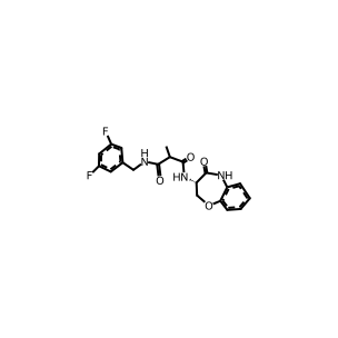 CC(C(=O)NCc1cc(F)cc(F)c1)C(=O)N[C@H]1COc2ccccc2NC1=O